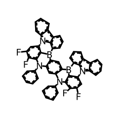 Fc1cc2c3c(c1F)N(c1ccccc1)c1cc4c(cc1B3c1cccc3c5ccccc5n-2c13)B1c2c(cc(F)c(F)c2N4c2ccccc2)-n2c3ccccc3c3cccc1c32